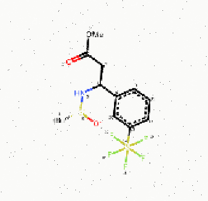 COC(=O)C[C@H](N[S@+]([O-])C(C)(C)C)c1cccc(S(F)(F)(F)(F)F)c1